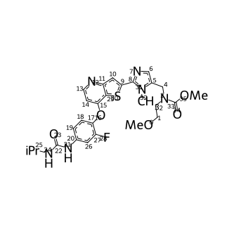 COCCN(Cc1cnc(-c2cc3nccc(Oc4ccc(NC(=O)NC(C)C)cc4F)c3s2)n1C)C(=O)OC